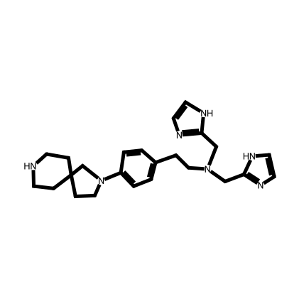 c1c[nH]c(CN(CCc2ccc(N3CCC4(CCNCC4)C3)cc2)Cc2ncc[nH]2)n1